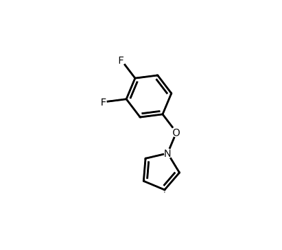 Fc1ccc(On2c[c]cc2)cc1F